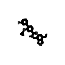 CCc1ccc(CN(C)C(=O)c2ccc(-c3cccc(F)c3)c(OC3CC3)c2)c2c1C=NC2